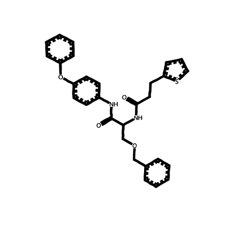 O=C(CCc1cccs1)NC(COCc1ccccc1)C(=O)Nc1ccc(Oc2ccccc2)cc1